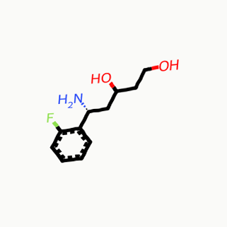 N[C@H](CC(O)CCO)c1ccccc1F